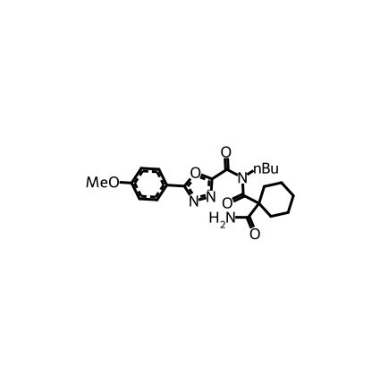 CCCCN(C(=O)c1nnc(-c2ccc(OC)cc2)o1)C(=O)C1(C(N)=O)CCCCC1